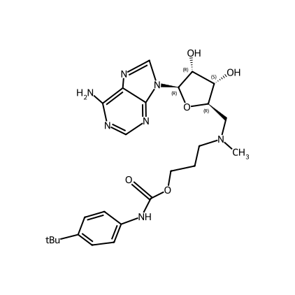 CN(CCCOC(=O)Nc1ccc(C(C)(C)C)cc1)C[C@H]1O[C@@H](n2cnc3c(N)ncnc32)[C@H](O)[C@@H]1O